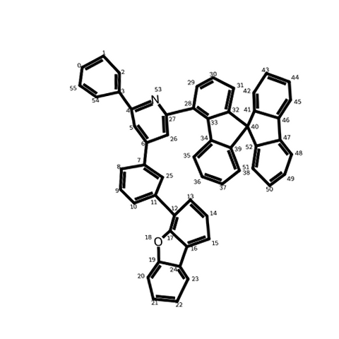 c1ccc(-c2cc(-c3cccc(-c4cccc5c4oc4ccccc45)c3)cc(-c3cccc4c3-c3ccccc3C43c4ccccc4-c4ccccc43)n2)cc1